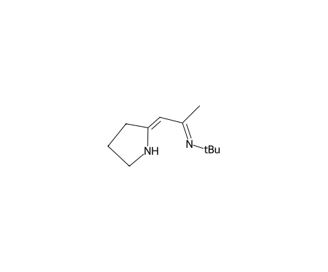 CC(C=C1CCCN1)=NC(C)(C)C